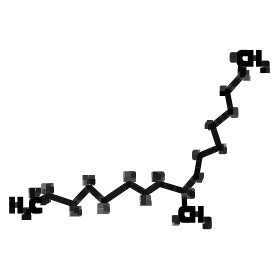 C=CCCCCCCC(C)CCCCCCC=C